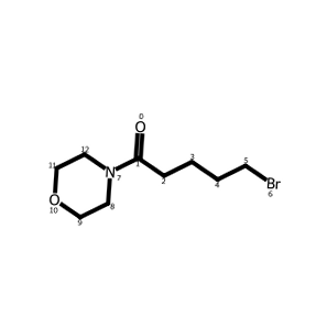 O=C(CCCCBr)N1CCOCC1